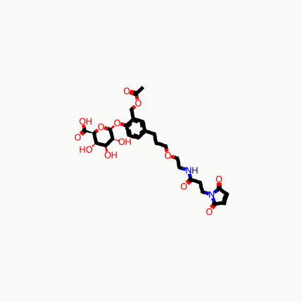 CC(=O)OCc1cc(CCCOCCNC(=O)CCN2C(=O)C=CC2=O)ccc1O[C@@H]1O[C@H](C(=O)O)[C@@H](O)[C@H](O)[C@H]1O